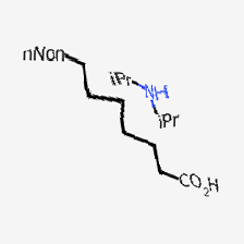 CC(C)NC(C)C.CCCCCCCCCCCCCCCC(=O)O